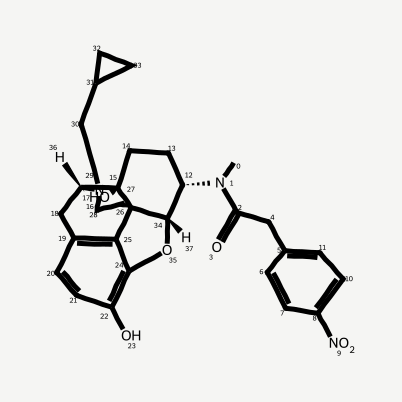 CN(C(=O)Cc1ccc([N+](=O)[O-])cc1)[C@H]1CC[C@@]2(O)[C@H]3Cc4ccc(O)c5c4[C@@]2(CCN3CC2CC2)[C@H]1O5